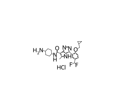 Cc1[nH]c2c(-c3cc(C(F)F)ccc3OCC3CC3)ncnc2c1C(=O)NC1CCC(N)CC1.Cl